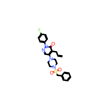 C=CCc1c(N2CCN(S(=O)(=O)Cc3ccccc3)CC2)cnn(-c2ccc(F)cc2)c1=O